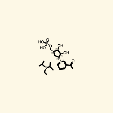 CC(=O)c1ccc[n+]([C@@H]2C[C@H](COP(=O)(O)O)[C@@H](O)[C@H]2O)c1.CCN(C(C)C)C(C)C